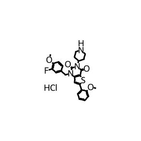 COc1ccc(Cn2c(=O)n(C3CCNCC3)c(=O)c3sc(-c4ccccc4OC)cc32)cc1F.Cl